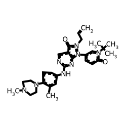 C=CCn1c(=O)c2cnc(Nc3ccc(N4CCN(C)CC4)c(C)c3)nc2n1-c1ccc(=O)n(C(C)(C)C)c1